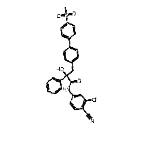 CS(=O)(=O)c1ccc(-c2ccc(CC(O)(C(=O)Nc3ccc(C#N)c(Cl)c3)c3ccccc3)cc2)cc1